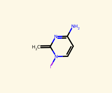 C=C1N=C(N)C=CN1I